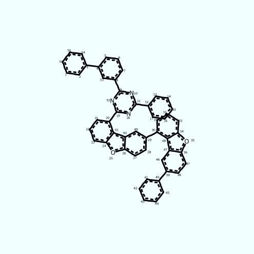 c1ccc(-c2cccc(-c3nc(-c4ccccc4)nc(-c4cccc5oc6ccc(-c7cccc8oc9ccc(-c%10ccccc%10)cc9c78)cc6c45)n3)c2)cc1